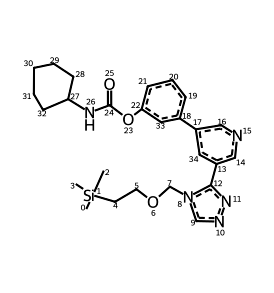 C[Si](C)(C)CCOCn1cnnc1-c1cncc(-c2cccc(OC(=O)NC3CCCCC3)c2)c1